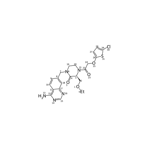 CCOC[C@H]1C(=O)N(Cc2ccc3c(N)ncnc3c2)CCN1C(=O)COc1ccc(Cl)s1